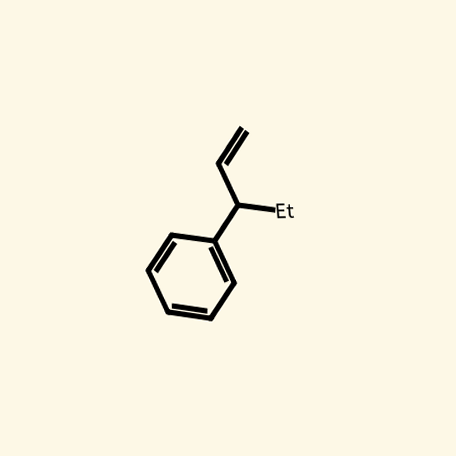 C=CC(CC)c1ccccc1